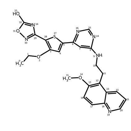 CCOc1cc(-c2cc(NCCc3c(OC)ccc4ncccc34)ncn2)sc1-c1noc(O)n1